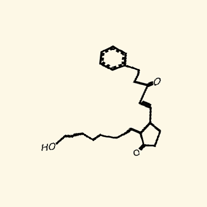 O=C(/C=C/C1CCC(=O)C1CCCCCCCO)CCc1ccccc1